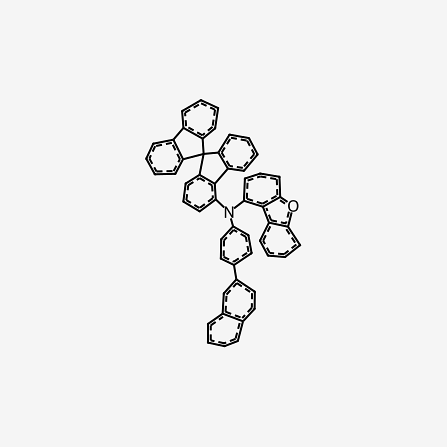 c1ccc2c(c1)-c1ccccc1C21c2ccccc2-c2c(N(c3ccc(-c4ccc5ccccc5c4)cc3)c3cccc4oc5ccccc5c34)cccc21